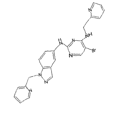 Brc1cnc(Nc2ccc3c(cnn3Cc3ccccn3)c2)nc1NCc1ccccn1